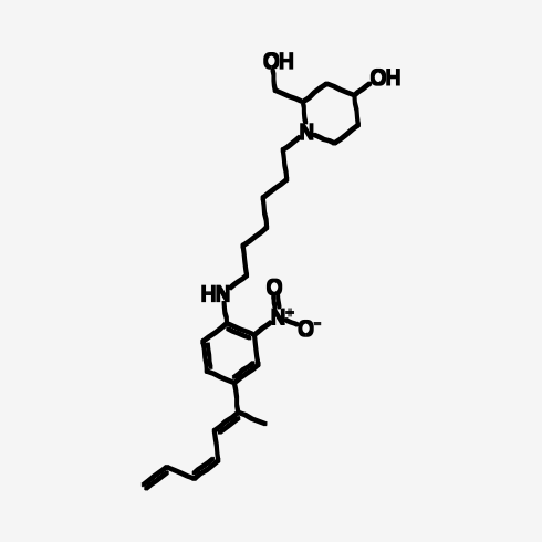 C=C/C=C\C=C(/C)c1ccc(NCCCCCCN2CCC(O)CC2CO)c([N+](=O)[O-])c1